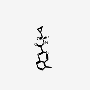 Cc1cccc2nc(C(=O)NS(=O)(=O)C3CC3)ncc12